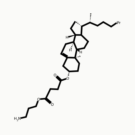 CC(C)CCC[C@@H](C)[C@H]1CC[C@@H]2C1CC[C@H]1[C@H]2CC=C2C[C@@H](OC(=O)CCC(=O)OCCCN)CC[C@@]21C